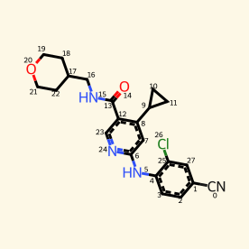 N#Cc1ccc(Nc2cc(C3CC3)c(C(=O)NCC3CCOCC3)cn2)c(Cl)c1